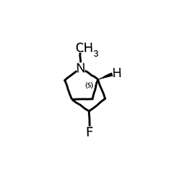 CN1CC2C[C@H]1CC2F